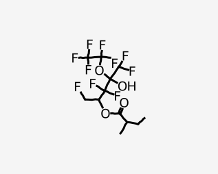 CCC(C)C(=O)OC(CF)C(F)(F)C(O)(OC(C)(F)C(F)(F)F)C(F)(F)F